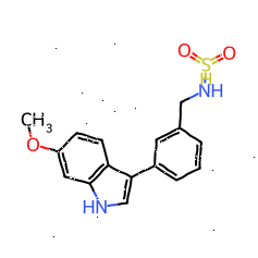 COc1ccc2c(-c3cccc(CN[SH](=O)=O)c3)c[nH]c2c1